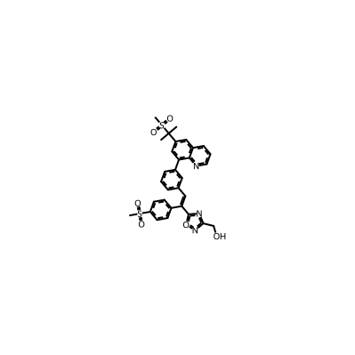 CC(C)(c1cc(-c2cccc(/C=C(\c3ccc(S(C)(=O)=O)cc3)c3nc(CO)no3)c2)c2ncccc2c1)S(C)(=O)=O